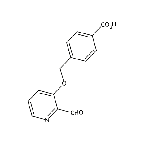 O=Cc1ncccc1OCc1ccc(C(=O)O)cc1